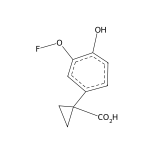 O=C(O)C1(c2ccc(O)c(OF)c2)CC1